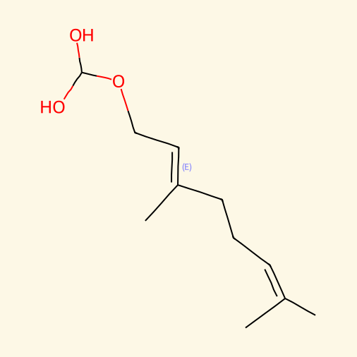 CC(C)=CCC/C(C)=C/COC(O)O